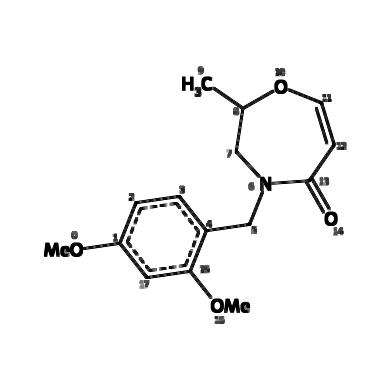 COc1ccc(CN2CC(C)OC=CC2=O)c(OC)c1